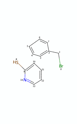 BrCc1ccccc1.Sc1ccccn1